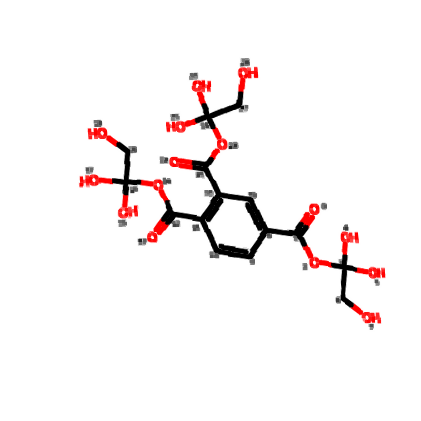 O=C(OC(O)(O)CO)c1ccc(C(=O)OC(O)(O)CO)c(C(=O)OC(O)(O)CO)c1